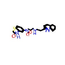 O=C1CSc2ccc(N3CC(CNCCc4ccc5ccccc5n4)OC3=O)cc2N1